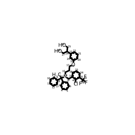 CC(c1ccccc1)(c1ccccc1)N(CCCOc1cccc(C(CO)CO)c1)Cc1cccc(C(F)(F)F)c1Cl